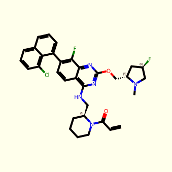 C=CC(=O)N1CCCC[C@H]1CNc1nc(OC[C@@H]2C[C@@H](F)CN2C)nc2c(F)c(-c3cccc4cccc(Cl)c34)ccc12